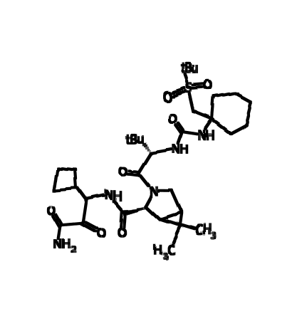 CC1(C)C2CN(C(=O)[C@@H](NC(=O)NC3(CS(=O)(=O)C(C)(C)C)CCCCC3)C(C)(C)C)[C@H](C(=O)NC(C(=O)C(N)=O)C3CCC3)C21